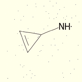 [NH]C1C=C1